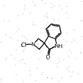 O=C1Nc2ccccc2C12CN(Cl)C2